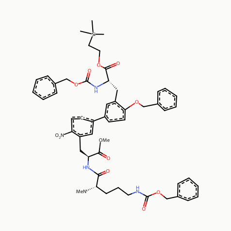 CN[C@@H](CCCNC(=O)OCc1ccccc1)C(=O)N[C@@H](Cc1cc(-c2ccc(OCc3ccccc3)c(C[C@H](NC(=O)OCc3ccccc3)C(=O)OCC[Si](C)(C)C)c2)ccc1[N+](=O)[O-])C(=O)OC